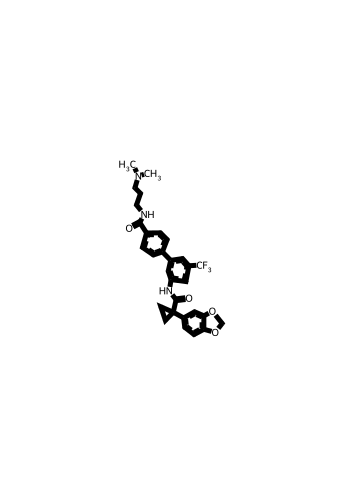 CN(C)CCCNC(=O)c1ccc(-c2cc(NC(=O)C3(c4ccc5c(c4)OCO5)CC3)cc(C(F)(F)F)c2)cc1